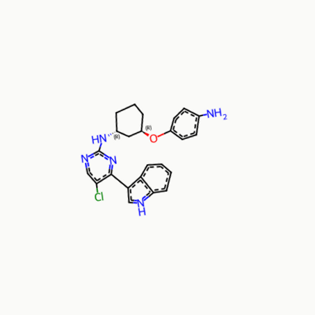 Nc1ccc(O[C@@H]2CCC[C@@H](Nc3ncc(Cl)c(-c4c[nH]c5ccccc45)n3)C2)cc1